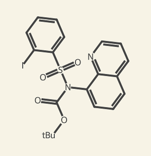 CC(C)(C)OC(=O)N(c1cccc2cccnc12)S(=O)(=O)c1ccccc1I